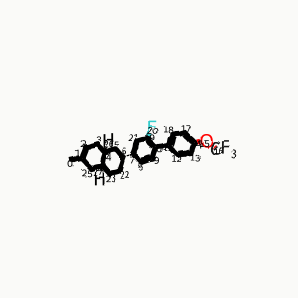 CC1CC[C@@H]2C[C@H](c3ccc(-c4ccc(OC(F)(F)F)cc4)c(F)c3)CC[C@@H]2C1